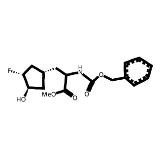 COC(=O)C(C[C@@H]1C[C@@H](O)[C@H](F)C1)NC(=O)OCc1ccccc1